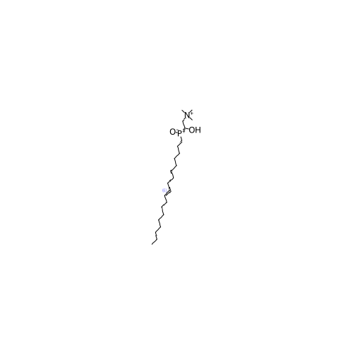 CCCCCCCC/C=C/CCCCCCCC[P+]([O-])=C(O)C[N+](C)(C)C